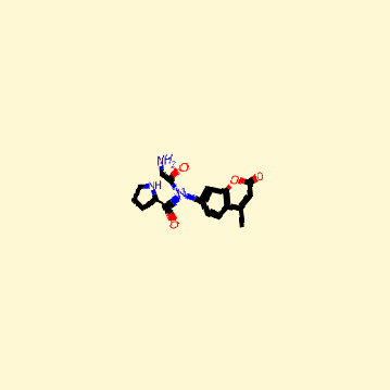 Cc1cc(=O)oc2cc(N(C(=O)CN)C(=O)[C@H]3CCCN3)ccc12